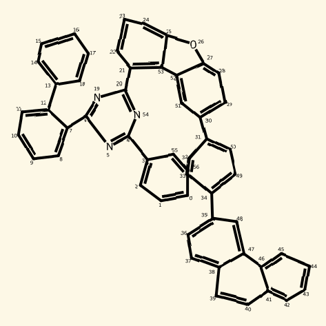 c1ccc(-c2nc(-c3ccccc3-c3ccccc3)nc(-c3cccc4oc5ccc(-c6ccc(-c7ccc8ccc9ccccc9c8c7)cc6)cc5c34)n2)cc1